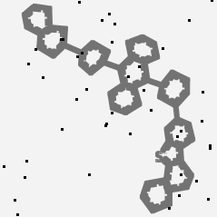 c1cc(-c2ccc3c(c2)sc2c4ccccc4ccc32)cc(-c2c3ccccc3c(-c3ccc(-c4ccc5ccccc5c4)cc3)c3ccccc23)c1